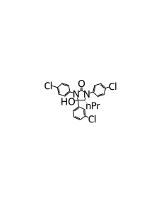 CCC[C@H]1N(c2ccc(Cl)cc2)C(=O)N(c2ccc(Cl)cc2)C1(O)c1cccc(Cl)c1